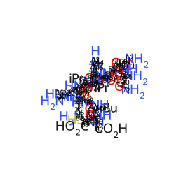 CC[C@H](C)[C@H](NC(=O)[C@H](CS)NC(=O)[C@H](CCCCN)NC(=O)[C@H](CCCNC(=N)N)NC(=O)[C@@H](NC(=O)[C@@H](NC(=O)[C@H](Cc1c[nH]cn1)NC(=O)[C@H](CO)NC(=O)CNC(=O)[C@H](CC(N)=O)NC(=O)[C@@H](N)CCC(N)=O)C(C)C)C(C)C)C(=O)N[C@@H](CCC(=O)O)C(=O)N[C@@H](CS)C(=O)O